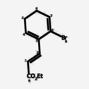 CCOC(=O)/C=C/C1=CCCC=C1Br